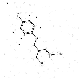 COCC(CN)COc1ccc(F)cc1